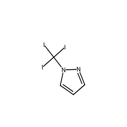 IC(I)(I)n1cccn1